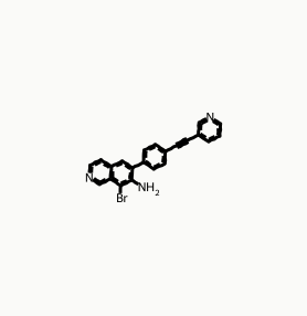 Nc1c(-c2ccc(C#Cc3cccnc3)cc2)cc2ccncc2c1Br